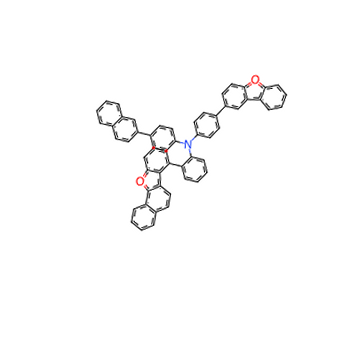 c1ccc(N(c2ccc(-c3ccc4ccccc4c3)cc2)c2ccc(-c3ccc4oc5ccccc5c4c3)cc2)c(-c2cccc3oc4c5ccccc5ccc4c23)c1